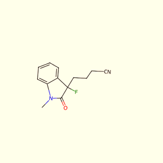 CN1C(=O)C(F)(CCCC#N)c2ccccc21